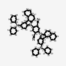 N#Cc1cc(-n2c3ccc(N(c4ccccc4)c4ccccc4)cc3c3c4ccccc4ccc32)c(C#N)cc1-n1c2ccc(N(c3ccccc3)c3ccccc3)cc2c2c3ccccc3ccc21